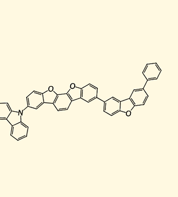 c1ccc(-c2ccc3oc4ccc(-c5ccc6oc7c(ccc8c9cc(-n%10c%11ccccc%11c%11ccccc%11%10)ccc9oc87)c6c5)cc4c3c2)cc1